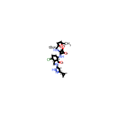 Cc1ccc([C@H](Nc2c(Nc3ccc(Cl)c4c3C(=O)N(c3cc(C5CC5)n[nH]3)C4)c(=O)c2=O)C(C)(C)C)o1